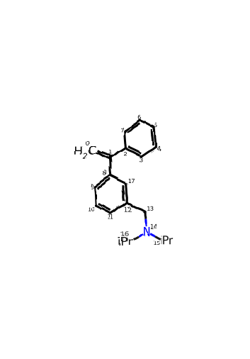 C=C(c1ccccc1)c1cccc(CN(C(C)C)C(C)C)c1